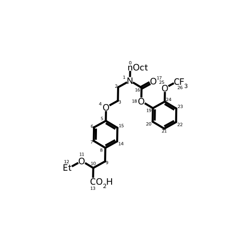 CCCCCCCCN(CCOc1ccc(CC(OCC)C(=O)O)cc1)C(=O)Oc1ccccc1OC(F)(F)F